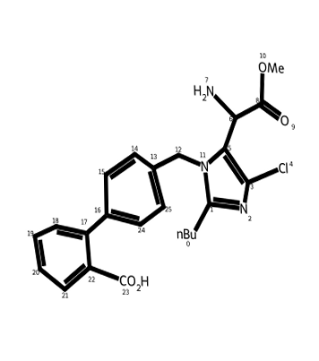 CCCCc1nc(Cl)c(C(N)C(=O)OC)n1Cc1ccc(-c2ccccc2C(=O)O)cc1